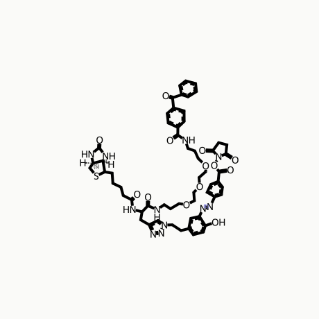 O=C(CCCCC1SC[C@H]2NC(=O)N[C@@H]12)NC(Cc1cn(CCc2ccc(O)c(/N=N/c3ccc(C(=O)ON4C(=O)CCC4=O)cc3)c2)nn1)C(=O)NCCCOCCOCCOCCCNC(=O)c1ccc(C(=O)c2ccccc2)cc1